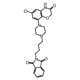 O=C1COc2c(cc(Cl)cc2N2CCN(CCCCN3C(=O)c4ccccc4C3=O)CC2)N1